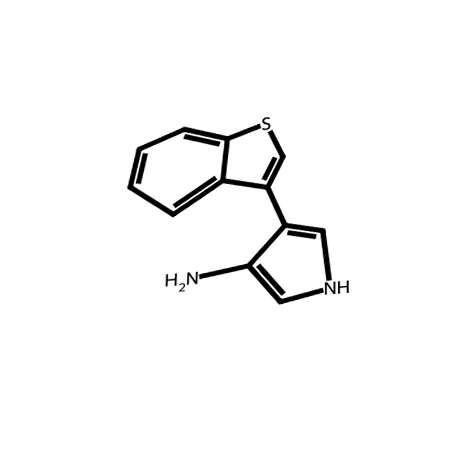 Nc1c[nH]cc1-c1csc2ccccc12